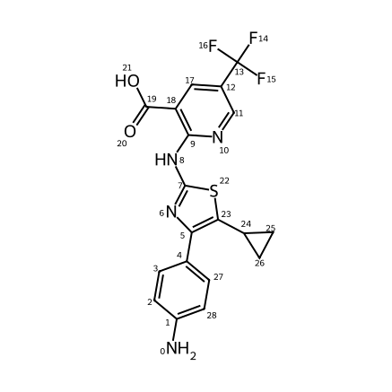 Nc1ccc(-c2nc(Nc3ncc(C(F)(F)F)cc3C(=O)O)sc2C2CC2)cc1